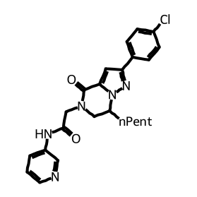 CCCCCC1CN(CC(=O)Nc2cccnc2)C(=O)c2cc(-c3ccc(Cl)cc3)nn21